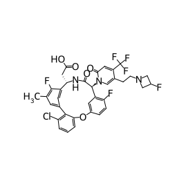 Cc1cc2cc(c1F)[C@H](CC(=O)O)NC(=O)[C@@H](n1cc(CCN3CC(F)C3)c(C(F)(F)F)cc1=O)c1cc(ccc1F)Oc1cccc(Cl)c1-2